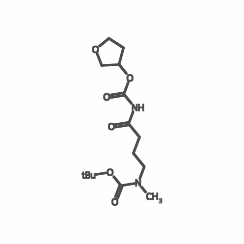 CN(CCCC(=O)NC(=O)OC1CCOC1)C(=O)OC(C)(C)C